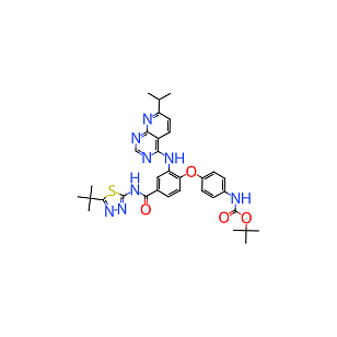 CC(C)c1ccc2c(Nc3cc(C(=O)Nc4nnc(C(C)(C)C)s4)ccc3Oc3ccc(NC(=O)OC(C)(C)C)cc3)ncnc2n1